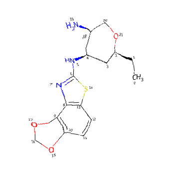 CC[C@H]1C[C@@H](Nc2nc3c4c(ccc3s2)OCO4)[C@@H](N)CO1